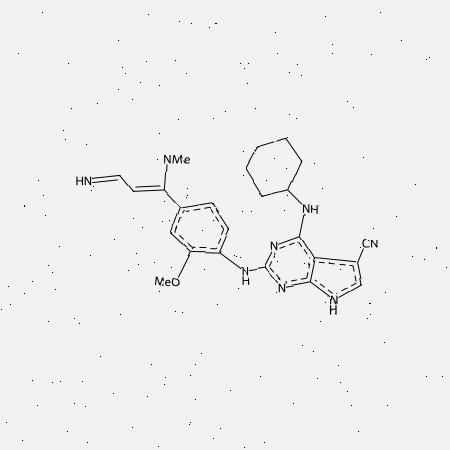 CN/C(=C\C=N)c1ccc(Nc2nc(NC3CCCCC3)c3c(C#N)c[nH]c3n2)c(OC)c1